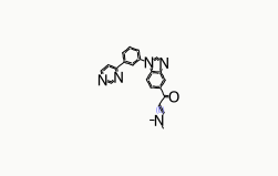 CN(C)/C=C/C(=O)c1ccc2c(c1)ncn2-c1cccc(-c2ccncn2)c1